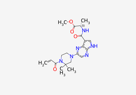 C=CC(=O)N1CCN(c2cnc3[nH]cc(C(=O)N[C@@H](C)C(=O)OC)c3n2)CC1(C)C